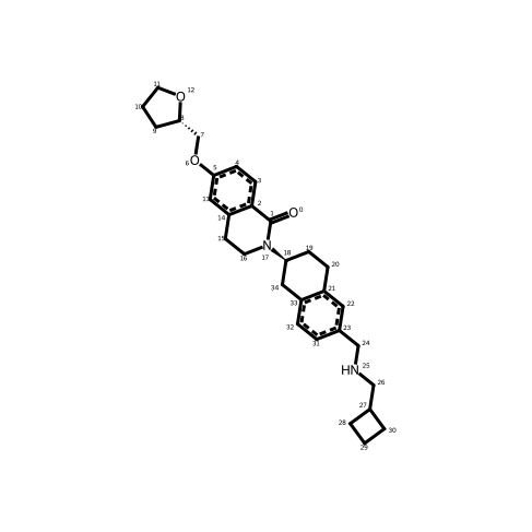 O=C1c2ccc(OC[C@@H]3CCCO3)cc2CCN1[C@H]1CCc2cc(CNCC3CCC3)ccc2C1